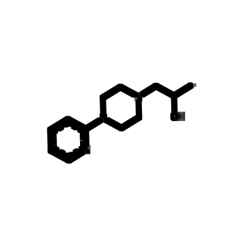 [CH2]C(O)CN1CCN(c2ccccn2)CC1